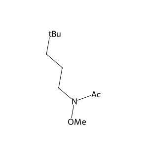 CON(CCCC(C)(C)C)C(C)=O